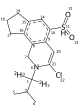 [2H]C([2H])(C(C)C)N1Cc2c(c([SH](=O)=O)cc3c2CCC3)C=C1Cl